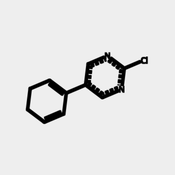 Clc1ncc(C2=CCCC=C2)cn1